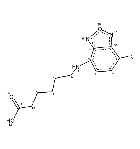 Cc1ccc(NCCCCCC(=O)O)c2nonc12